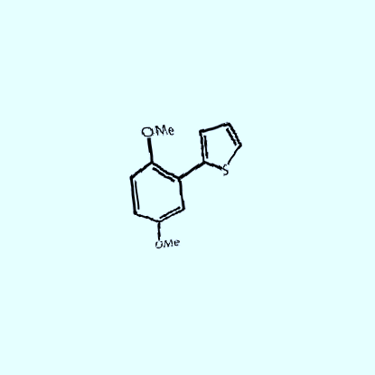 COc1ccc(OC)c(-c2cccs2)c1